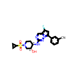 N#Cc1cccc(-c2cc(F)c3cnc(N[C@@H]4CCN(S(=O)(=O)C5CC5)C[C@H]4O)nn23)c1